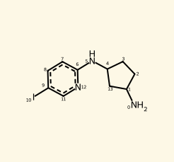 NC1CCC(Nc2ccc(I)cn2)C1